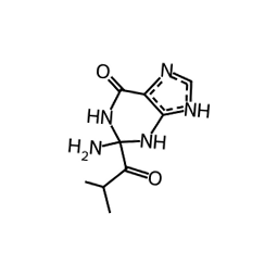 CC(C)C(=O)C1(N)NC(=O)c2nc[nH]c2N1